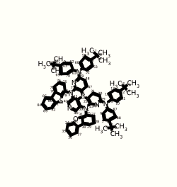 CC(C)(C)c1ccc(N(c2ccc(C(C)(C)C)cc2)c2ccc3c(n2)N(c2cccc4c2oc2ccccc24)c2cncc4c2B3c2ccc(N(c3ccc(C(C)(C)C)cc3)c3ccc(C(C)(C)C)cc3)nc2N4c2cccc3c2sc2ccccc23)cc1